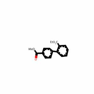 CCOC(=O)c1ccccc1-c1ccc(C(=O)OC)cc1